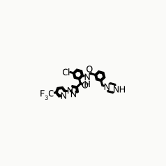 O=C(Nc1ccc(Cl)cc1C(=O)c1cnn(-c2ccc(C(F)(F)F)cn2)c1)c1cccc(CN2CCNCC2)c1